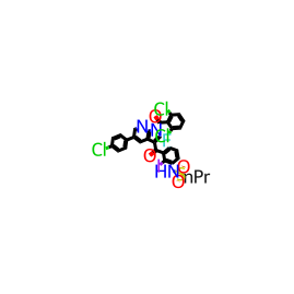 CCCS(=O)(=O)Nc1ccc(F)c(C(=O)c2cn(C(=O)c3c(Cl)cccc3Cl)c3ncc(-c4ccc(Cl)cc4)cc23)c1I